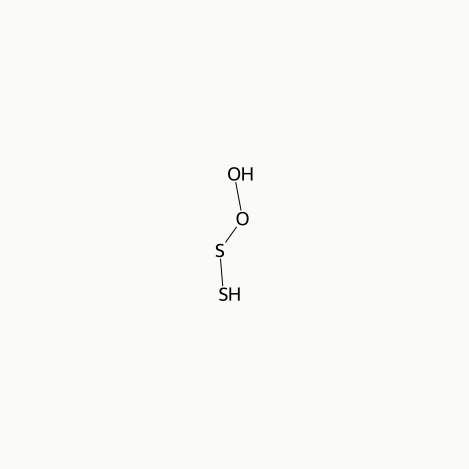 OOSS